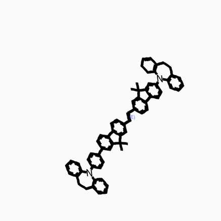 CC1(C)c2cc(/C=C/c3ccc4c(c3)C(C)(C)c3cc(N5C6=C(C=CCC6)CCc6ccccc65)ccc3-4)ccc2-c2ccc(-c3ccc(N4c5ccccc5CCc5ccccc54)cc3)cc21